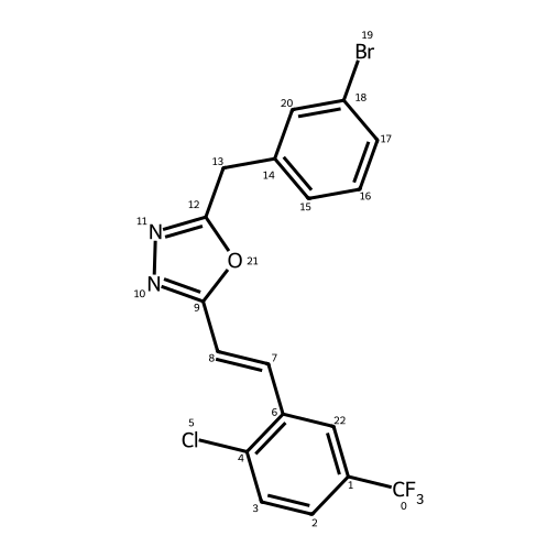 FC(F)(F)c1ccc(Cl)c(/C=C/c2nnc(Cc3cccc(Br)c3)o2)c1